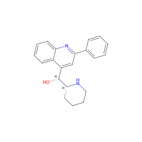 O[C@H](c1cc(-c2ccccc2)nc2ccccc12)[C@H]1CCCCN1